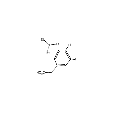 CCN(CC)CC.O=C(O)Cc1ccc(Cl)c(F)c1